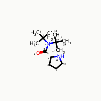 CC(C)(C)N(C(=O)[C@H]1CCCN1)C(C)(C)C